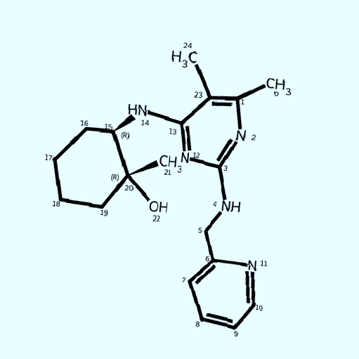 Cc1nc(NCc2ccccn2)nc(N[C@@H]2CCCC[C@@]2(C)O)c1C